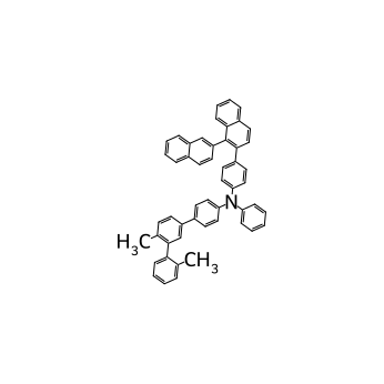 Cc1ccccc1-c1cc(-c2ccc(N(c3ccccc3)c3ccc(-c4ccc5ccccc5c4-c4ccc5ccccc5c4)cc3)cc2)ccc1C